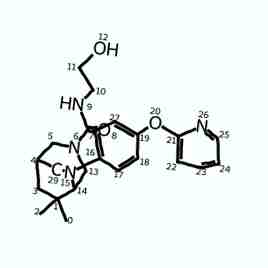 CC1(C)CC2CN(C(=O)NCCO)CC1N(c1ccc(Oc3ccccn3)cc1)C2